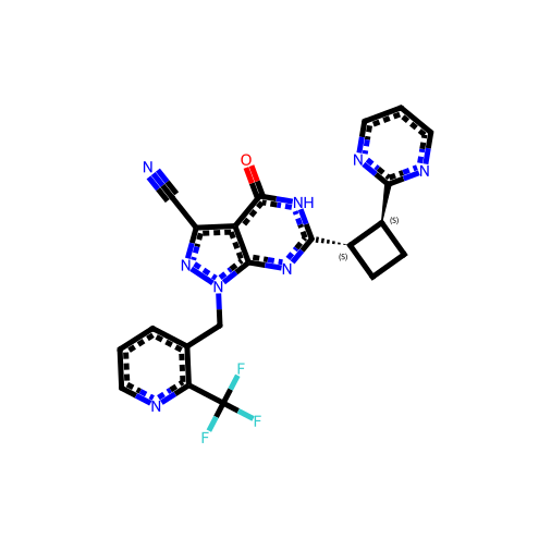 N#Cc1nn(Cc2cccnc2C(F)(F)F)c2nc([C@H]3CC[C@@H]3c3ncccn3)[nH]c(=O)c12